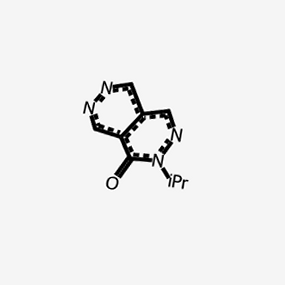 CC(C)n1ncc2cnncc2c1=O